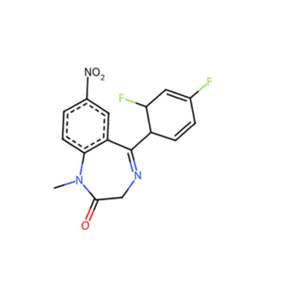 CN1C(=O)CN=C(C2C=CC(F)=CC2F)c2cc([N+](=O)[O-])ccc21